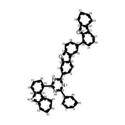 c1ccc(-c2nc(-c3ccc4c(c3)oc3ccc(-c5cccc6c5oc5ccccc56)cc34)nc(-c3cccc4sc5ccccc5c34)n2)cc1